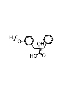 COc1cccc(C[C@](O)(Cc2ccccc2)C(=O)O)c1